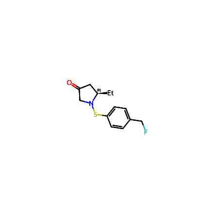 CC[C@@H]1CC(=O)CN1Sc1ccc(CF)cc1